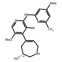 CNc1cc(C)nc(Nc2ncc(OC)c(C3=CCNC[C@H](O)C3)c2F)c1